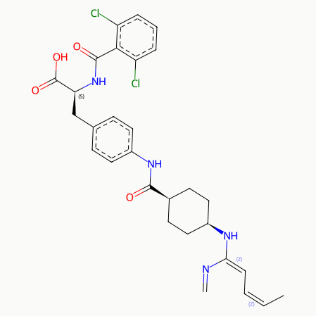 C=N/C(=C\C=C/C)N[C@H]1CC[C@@H](C(=O)Nc2ccc(C[C@H](NC(=O)c3c(Cl)cccc3Cl)C(=O)O)cc2)CC1